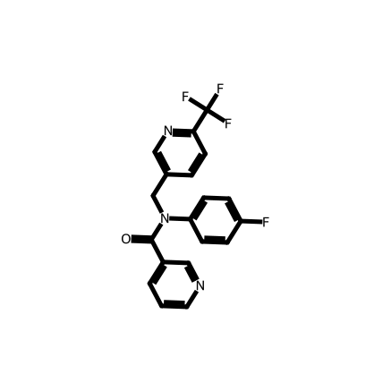 O=C(c1cccnc1)N(Cc1ccc(C(F)(F)F)nc1)c1ccc(F)cc1